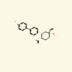 C=C[C@]1(CO)CC[C@@H](C(=C)C)[C@H](c2ccc(-c3ccc(OC)cc3)cc2)C1